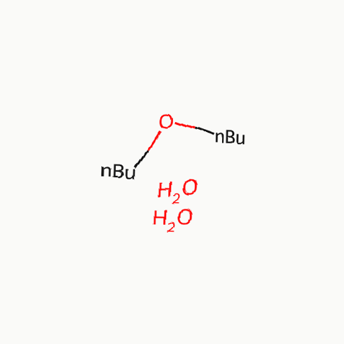 CCCCOCCCC.O.O